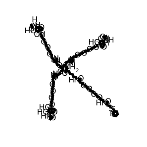 CC(=O)N[C@H]1[C@@H]2OC[C@](COCCOCCOCCOCCn3cc(COCC(COCc4cn(CCOCCOCCOCCOC[C@@]56CO[C@@H](O5)[C@H](NC(C)=O)[C@@H](O)[C@H]6O)nn4)(COCc4cn(CCOCCOCCOCCOC[C@@]56CO[C@@H](O5)[C@H](NC(C)=O)[C@@H](O)[C@H]6O)nn4)N(N)C(=O)CCCCCNC(=O)CCOCCOCCOCCOCCNC(=O)CCSSc4ccccn4)nn3)(O2)[C@H](O)[C@@H]1O